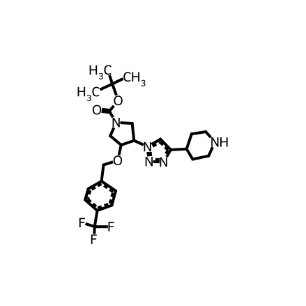 CC(C)(C)OC(=O)N1CC(OCc2ccc(C(F)(F)F)cc2)C(n2cc(C3CCNCC3)nn2)C1